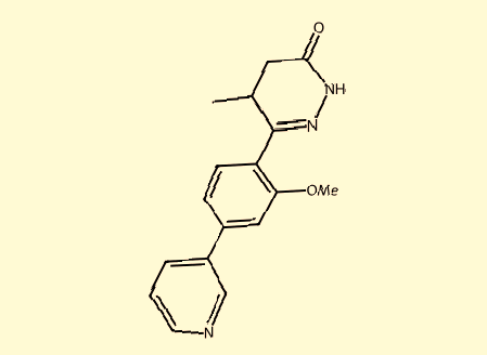 COc1cc(-c2cccnc2)ccc1C1=NNC(=O)CC1C